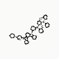 c1ccc(B2c3ccccc3Oc3ccc4c(c32)Oc2ccccc2B4c2cccc(-n3c4ccccc4c4c5c6ccccc6n(-c6ccc(-c7ccccc7)cc6)c5ccc43)c2)cc1